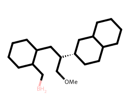 BCC1CCCCC1CC(COC)[C@H]1CCC2CCCCC2C1